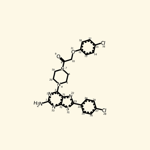 Nc1nc(N2CCN(C(=O)COc3ccc(Cl)cc3)CC2)c2nc(-c3ccc(Cl)cc3)sc2n1